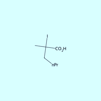 CCCCC(C)(I)C(=O)O